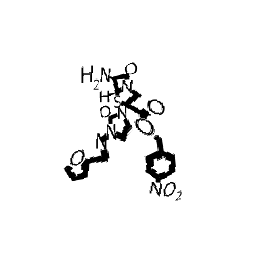 N[C@@H]1C(=O)N2C[C@@](C(=O)OCc3ccc([N+](=O)[O-])cc3)(N3CCN(/N=C/c4ccco4)C3=O)S[C@H]12